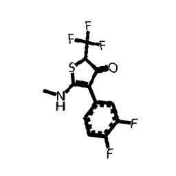 CNC1=C(c2ccc(F)c(F)c2)C(=O)C(C(F)(F)F)S1